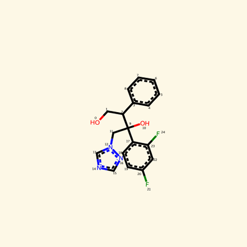 OCC(c1ccccc1)C(O)(Cn1cncn1)c1ccc(F)cc1F